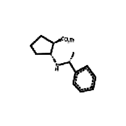 CCOC(=O)[C@@H]1CCC[C@H]1N[C@H](C)c1ccccc1